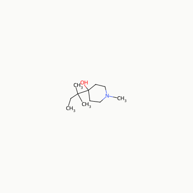 CCC(C)(C)C1(O)CCN(C)CC1